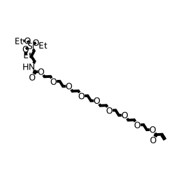 C=CC(=O)OCCOCCOCCOCCOCCOCCOCCOCCOC(=O)NCCC[Si](OCC)(OCC)OCC